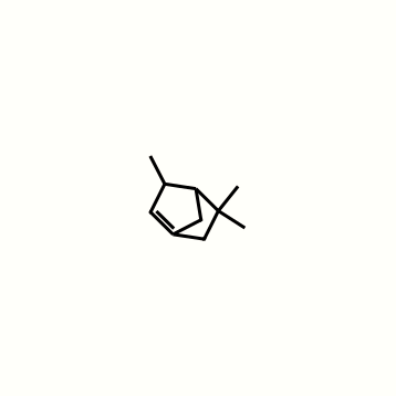 CC1C=C2CC1C(C)(C)C2